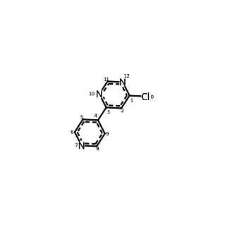 Clc1cc(-c2ccncc2)ncn1